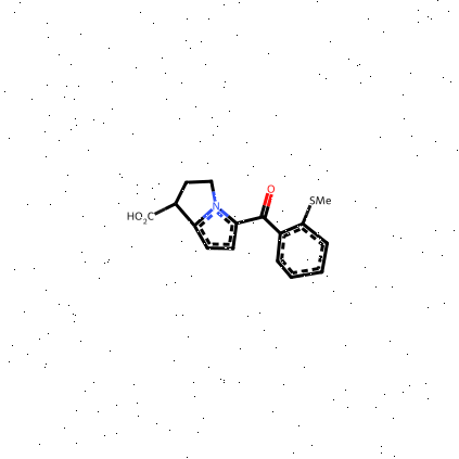 CSc1ccccc1C(=O)c1ccc2n1CCC2C(=O)O